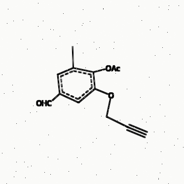 C#CCOc1cc(C=O)cc(C)c1OC(C)=O